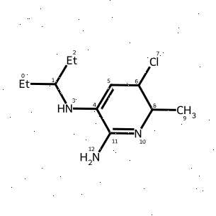 CCC(CC)NC1=CC(Cl)C(C)N=C1N